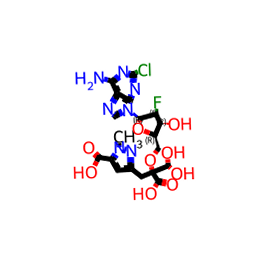 Cn1nc(CC(OC[C@H]2O[C@@H](n3cnc4c(N)nc(Cl)nc43)[C@@H](F)[C@@H]2O)(C(=O)O)C(O)O)cc1C(=O)O